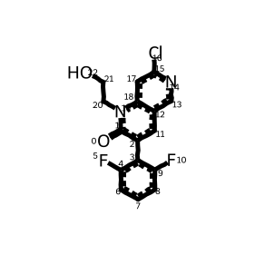 O=c1c(-c2c(F)cccc2F)cc2cnc(Cl)cc2n1CCO